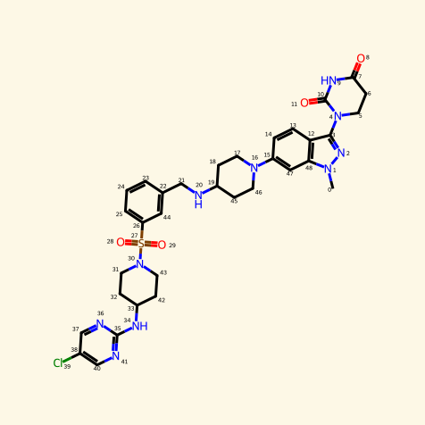 Cn1nc(N2CCC(=O)NC2=O)c2ccc(N3CCC(NCc4cccc(S(=O)(=O)N5CCC(Nc6ncc(Cl)cn6)CC5)c4)CC3)cc21